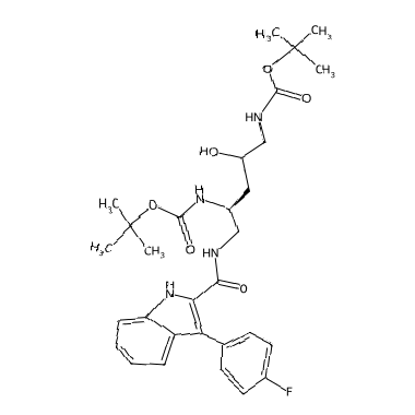 CC(C)(C)OC(=O)NCC(O)C[C@@H](CNC(=O)c1[nH]c2ccccc2c1-c1ccc(F)cc1)NC(=O)OC(C)(C)C